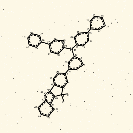 CC1(C)c2cc(-c3cccc(N(c4ccc(-c5ccccc5)cc4)c4ccc(-c5ccccc5)cc4)c3)ccc2-c2sc3ccccc3c21